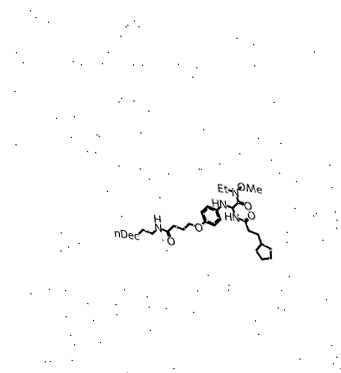 CCCCCCCCCCCCNC(=O)CCCOc1ccc(NC(NC(=O)CCC2CCCC2)C(=O)N(CC)OC)cc1